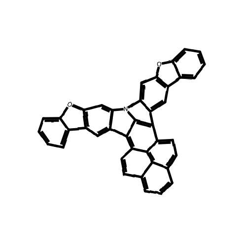 c1cc2ccc3c4c(ccc(c1)c24)c1c2cc4c(cc2n2c5cc6oc7ccccc7c6cc5c3c12)oc1ccccc14